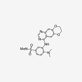 CNS(=O)(=O)c1ccc(N(C)C)c(Nc2ncnc3cc4c(cc23)OCCO4)c1